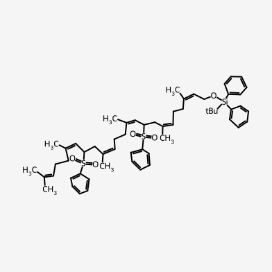 CC(C)=CCCC(C)=CC(CC(C)=CCCC(C)=CC(CC(C)=CCCC(C)=CCO[Si](c1ccccc1)(c1ccccc1)C(C)(C)C)S(=O)(=O)c1ccccc1)S(=O)(=O)c1ccccc1